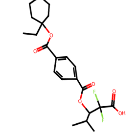 CCC1(OC(=O)c2ccc(C(=O)OC(C(C)C)C(F)(F)C(=O)O)cc2)CCCCC1